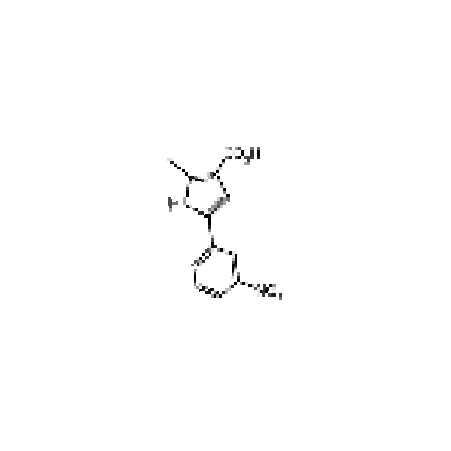 Cc1[nH]c(-c2cccc([N+](=O)[O-])c2)cc1C(=O)O